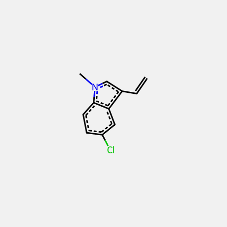 C=Cc1cn(C)c2ccc(Cl)cc12